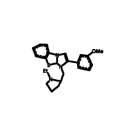 CCN1CCCC1CN1C(c2cccc(OC)c2)=CN2c3ccccc3SC12